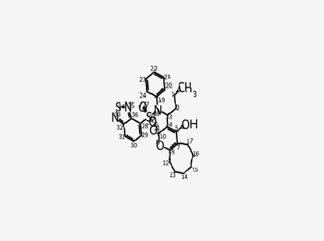 CCCC(c1c(O)c2c(oc1=O)CCCCCC2)N(c1ccccc1)S(=O)(=O)c1cccc2nsnc12